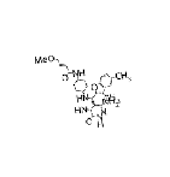 COC/C=C/C(=O)NC1CCC(N/C(=C2\C(=N)C(=O)NN=C2N)c2oc3ccc(C)cc3c2C)CC1